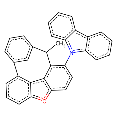 CC1c2cccc(c2)-c2cccc3oc4ccc(-n5c6ccccc6c6ccccc65)c1c4c23